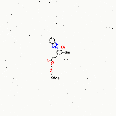 COCCOCCOC(=O)CCc1cc(-n2nc3ccccc3n2)c(O)c(C(C)(C)C)c1